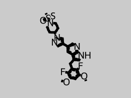 COc1cc(OC)c(F)c(Cc2c[nH]c3ncc(-c4cnn(C5CCN(S(C)(=O)=S)CC5)c4)cc23)c1F